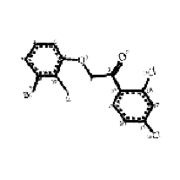 O=C(COc1cccc(Br)c1I)c1ccc(Cl)cc1Cl